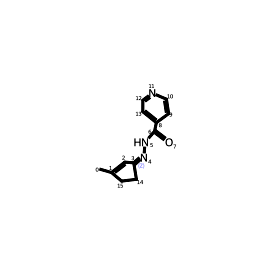 CC1=C/C(=N\NC(=O)c2ccncc2)CC1